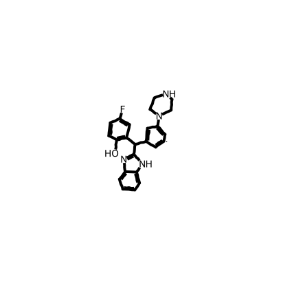 Oc1ccc(F)cc1C(c1c[c]cc(N2CCNCC2)c1)c1nc2ccccc2[nH]1